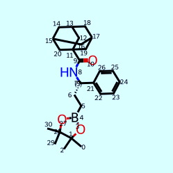 CC1(C)OB(CC[C@H](NC(=O)C23CC4CC(CC(C4)C2)C3)c2ccccc2)OC1(C)C